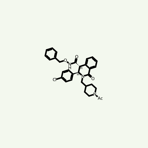 CC(=O)N1CCC(CN2C(=O)c3ccccc3[C@@H](C(=O)NOCc3ccccc3)[C@@H]2c2ccc(Cl)cc2)CC1